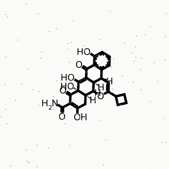 NC(=O)C1=C(O)C[C@@H]2[C@H]3OC(C4CCC4)=C[C@H]4c5cccc(O)c5C(=O)C(=C(O)[C@]2(O)C1=O)[C@H]34